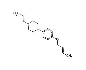 C/C=C/COc1ccc(C2CCC(/C=C/C)CC2)cc1